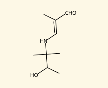 CC([C]=O)=CNC(C)(C)C(C)O